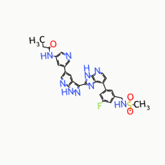 CCC(=O)Nc1cncc(-c2cnc3[nH]nc(-c4nc5c(-c6cc(F)cc(CNS(C)(=O)=O)c6)ccnc5[nH]4)c3c2)c1